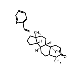 CN1C(=O)CC[C@@]2(C)C1CC[C@H]1[C@@H]3CC[C@H](/C=C/c4ccccn4)[C@@]3(C)CC[C@@H]12